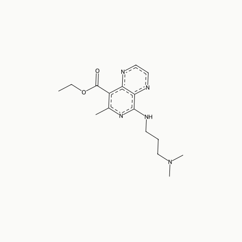 CCOC(=O)c1c(C)nc(NCCCN(C)C)c2nccnc12